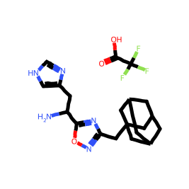 NC(Cc1c[nH]cn1)c1nc(CC23CC4CC(CC(C4)C2)C3)no1.O=C(O)C(F)(F)F